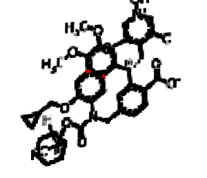 COc1ccc([C@H](Cc2c(Cl)c[n+](O)cc2Cl)c2cc(CN(C(=O)O[C@H]3CN4CCC3CC4)c3ccccc3OCC3CC3)ccc2C(=O)[O-])cc1OC